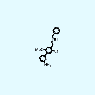 CCc1cc(-c2cccc(N)n2)c(OC)cc1CCNCc1ccccc1